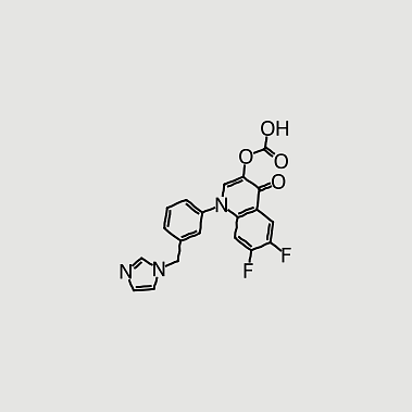 O=C(O)Oc1cn(-c2cccc(Cn3ccnc3)c2)c2cc(F)c(F)cc2c1=O